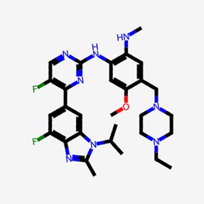 CCN1CCN(Cc2cc(NC)c(Nc3ncc(F)c(-c4cc(F)c5nc(C)n(C(C)C)c5c4)n3)cc2OC)CC1